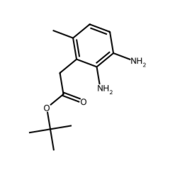 Cc1ccc(N)c(N)c1CC(=O)OC(C)(C)C